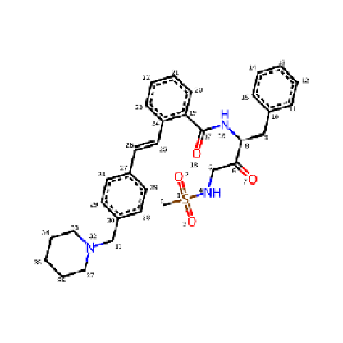 CS(=O)(=O)NCC(=O)[C@H](Cc1ccccc1)NC(=O)c1ccccc1C=Cc1ccc(CN2CCCCC2)cc1